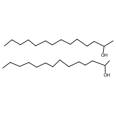 CCCCCCCCCCCCC(C)O.CCCCCCCCCCCCC(C)O